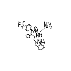 NCCCC(=O)NC(Cc1cc2ccccc2[nH]1)C(=O)Nc1ccc(C(F)(F)F)cc1